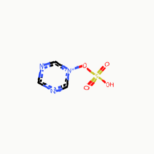 O=S(=O)(O)O[n+]1cncnc1